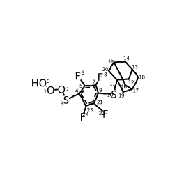 OOOSc1c(F)c(F)c(SC23CC4CC(CC(C4)C2)C3)c(F)c1F